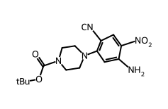 [C-]#[N+]c1cc([N+](=O)[O-])c(N)cc1N1CCN(C(=O)OC(C)(C)C)CC1